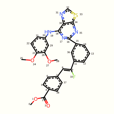 COC(=O)c1ccc(C=C(F)c2cccc(-c3nc(Nc4ccc(OC)c(OC)c4)c4ncsc4n3)c2)cc1